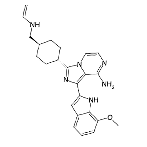 C=CNC[C@H]1CC[C@H](c2nc(-c3cc4cccc(OC)c4[nH]3)c3c(N)nccn32)CC1